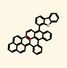 c1ccc(-c2ccc3ccc4cccc5ccc2c3c45)c(-c2c3ccccc3c(-c3cccc4c3oc3ccccc34)c3ccccc23)c1